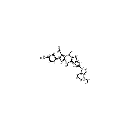 CCc1nc2sc(N3CCC4C3CCCN4CC)nn2c1N(C)c1nc(-c2ccc(N)cc2)c(C#N)s1